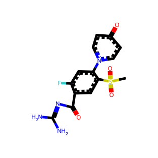 CS(=O)(=O)c1cc(C(=O)N=C(N)N)c(F)cc1-n1ccc(=O)cc1